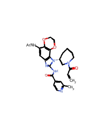 C=CC(=O)N1CCCC[C@@H](n2c(NC(=O)c3ccnc(C)c3)nc3cc(NC(C)=O)c4c(c32)OCCO4)C1